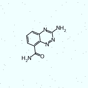 NC(=O)c1cccc2nc(N)nnc12